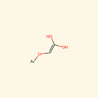 CC(=O)OC=C(O)O